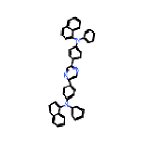 c1ccc(N(c2ccc(-c3cnc(-c4ccc(N(c5ccccc5)c5cccc6ccccc56)cc4)cn3)cc2)c2cccc3ccccc23)cc1